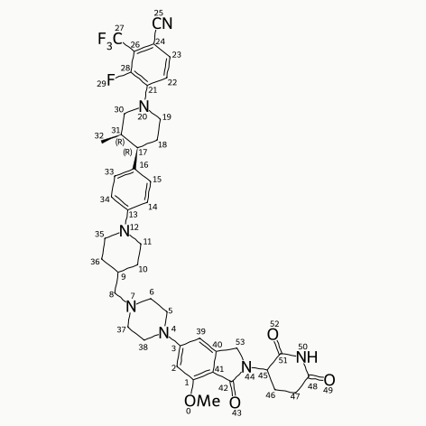 COc1cc(N2CCN(CC3CCN(c4ccc([C@@H]5CCN(c6ccc(C#N)c(C(F)(F)F)c6F)C[C@@H]5C)cc4)CC3)CC2)cc2c1C(=O)N(C1CCC(=O)NC1=O)C2